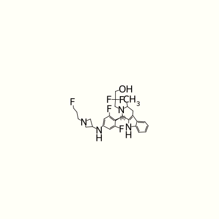 CC1Cc2c([nH]c3ccccc23)[C@@H](c2c(F)cc(NC3CN(CCCF)C3)cc2F)N1CC(F)(F)CO